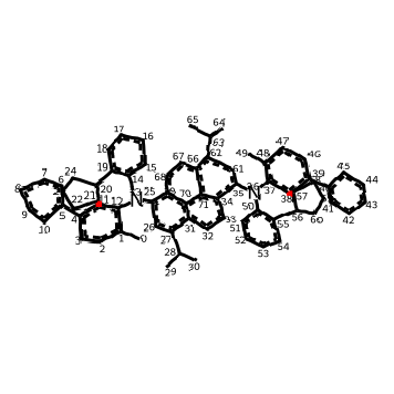 Cc1ccc(-c2ccccc2)cc1N(c1ccccc1C1CCCC1)c1cc(C(C)C)c2ccc3c(N(c4cc(-c5ccccc5)ccc4C)c4ccccc4C4CCCC4)cc(C(C)C)c4ccc1c2c43